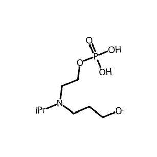 CC(C)N(CCC[O])CCOP(=O)(O)O